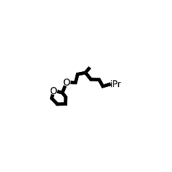 CC(C)CCCC(C)CCOC1CCCCO1